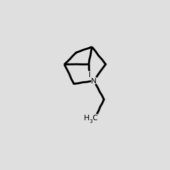 CCN1CC2CC(C1)C2I